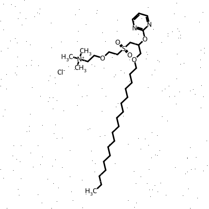 CCCCCCCCCCCCCCCCCCOCC(CS(=O)(=O)CCOCC[N+](C)(C)C)Oc1ncccn1.[Cl-]